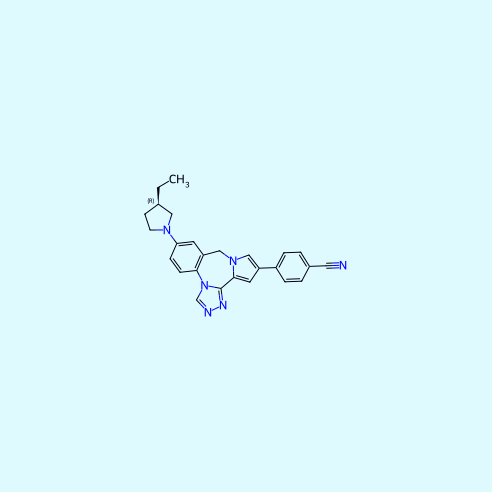 CC[C@@H]1CCN(c2ccc3c(c2)Cn2cc(-c4ccc(C#N)cc4)cc2-c2nncn2-3)C1